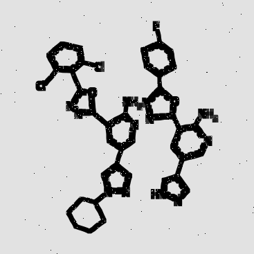 Nc1ncc(-c2cn[nH]c2)cc1-c1nnc(-c2ccc(F)cc2)o1.Nc1ncc(-c2cnn(C3CCCCC3)c2)cc1-c1nnc(-c2c(Cl)cccc2Cl)o1